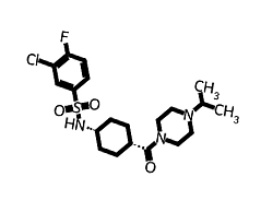 CC(C)N1CCN(C(=O)[C@H]2CC[C@@H](NS(=O)(=O)c3ccc(F)c(Cl)c3)CC2)CC1